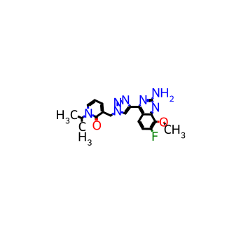 COc1c(F)ccc2c(-c3cn(Cc4cccn(C(C)C)c4=O)nn3)nc(N)nc12